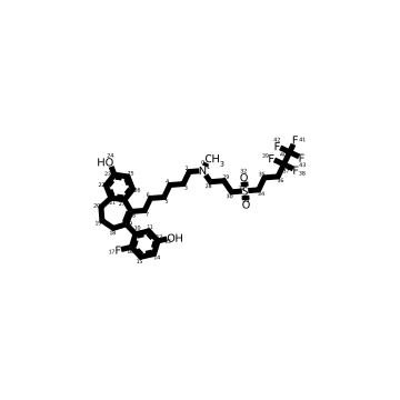 CN(CCCCCCC1=C(c2cc(O)ccc2F)CCCc2cc(O)ccc21)CCCS(=O)(=O)CCCC(F)(F)C(F)(F)F